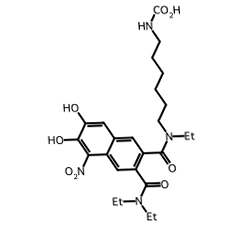 CCN(CC)C(=O)c1cc2c([N+](=O)[O-])c(O)c(O)cc2cc1C(=O)N(CC)CCCCCCNC(=O)O